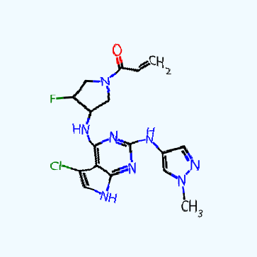 C=CC(=O)N1CC(F)C(Nc2nc(Nc3cnn(C)c3)nc3[nH]cc(Cl)c23)C1